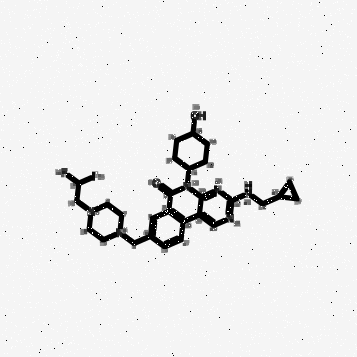 O=c1c2cc(CN3CCN(CC(F)F)CC3)ccc2c2cnc(NCC3CC3)nc2n1C1CCC(O)CC1